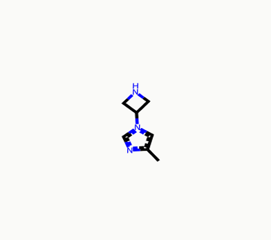 Cc1cn(C2CNC2)cn1